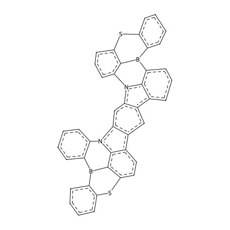 c1ccc2c(c1)Sc1cccc3c1B2c1cccc2c4cc5c6ccc7c8c6n(c5cc4n-3c12)-c1ccccc1B8c1ccccc1S7